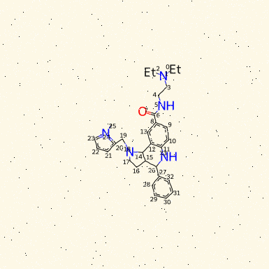 CCN(CC)CCNC(=O)c1ccc2c(c1)C1C(CCN1Cc1cccn1C)C(c1ccccc1)N2